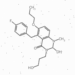 CCCOc1ccc2c(c1Cc1ccc(F)cc1)C(=O)N(CCCO)C(O)N2C